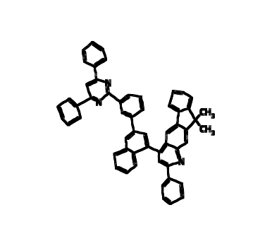 CC1(C)c2ccccc2-c2cc3c(-c4cc(-c5cccc(-c6nc(-c7ccccc7)cc(-c7ccccc7)n6)c5)cc5ccccc45)cc(-c4ccccc4)nc3cc21